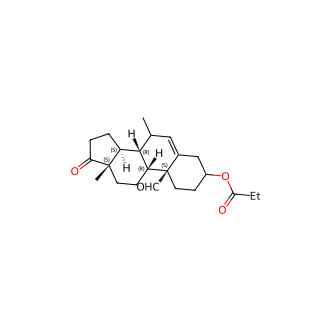 CCC(=O)OC1CC[C@@]2(C=O)C(=CC(C)[C@@H]3[C@H]2CC[C@]2(C)C(=O)CC[C@@H]32)C1